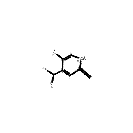 C=C1C=C(C(F)F)C(C(C)C)=CN1